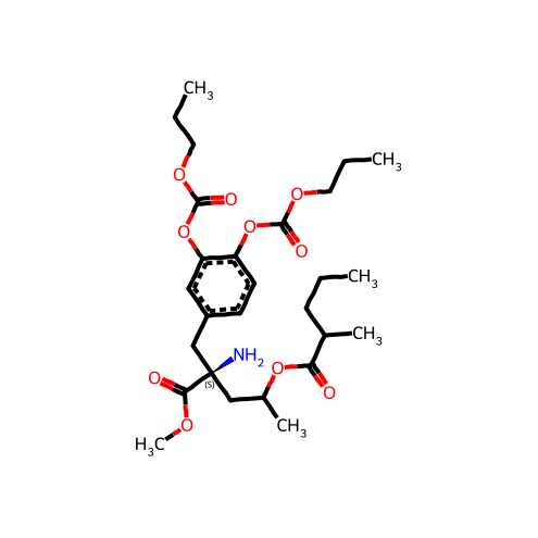 CCCOC(=O)Oc1ccc(C[C@](N)(CC(C)OC(=O)C(C)CCC)C(=O)OC)cc1OC(=O)OCCC